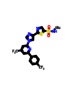 CC(C)(C)NS(=O)(=O)c1cnc(-c2cn(-c3cc(C(F)(F)F)cc(-c4ccc(C(F)(F)F)cc4)n3)cn2)s1